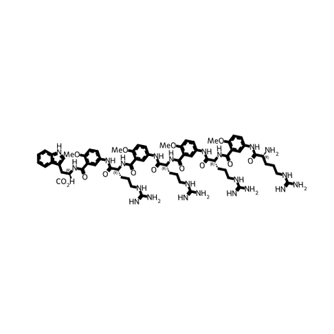 COc1ccc(NC(=O)[C@@H](CCCNC(=N)N)NC(=O)c2cc(NC(=O)[C@@H](CCCNC(=N)N)NC(=O)c3cc(NC(=O)[C@@H](CCCNC(=N)N)NC(=O)c4cc(NC(=O)[C@H](N)CCCNC(=N)N)ccc4OC)ccc3OC)ccc2OC)cc1C(=O)N[C@H](Cc1c[nH]c2ccccc12)C(=O)O